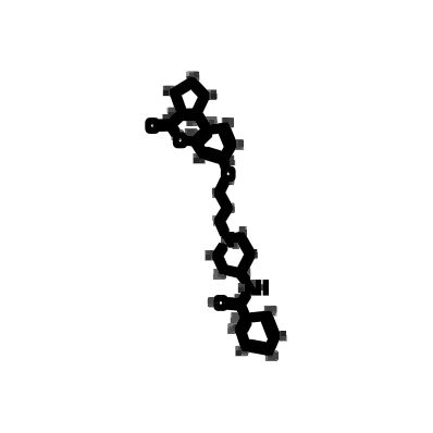 O=C(NC1CCN(CCCOc2ccc3c4c(c(=O)oc3c2)CCC4)CC1)c1ccccc1